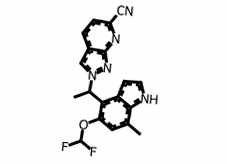 Cc1cc(OC(F)F)c(C(C)n2cc3ccc(C#N)nc3n2)c2cc[nH]c12